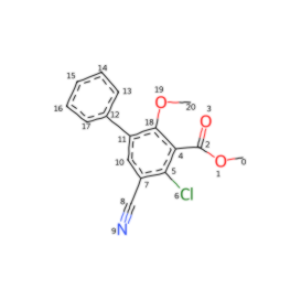 COC(=O)c1c(Cl)c(C#N)cc(-c2ccccc2)c1OC